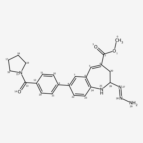 COC(=O)C1=Cc2cc(-c3ccc(C(=O)N4CCCC4)cc3)ccc2NC(N=NN)C1